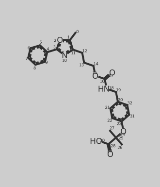 Cc1oc(-c2ccccc2)nc1CCCOC(=O)NCc1ccc(OC(C)(C)C(=O)O)cc1